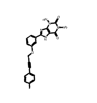 CCCn1c(=O)c2[nH]c(-c3cccc(OCC#Cc4ccc(C)cc4)c3)nc2n(CCC)c1=O